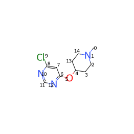 CN1CCC(Oc2cc(Cl)ncn2)CC1